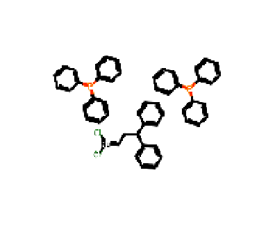 [Cl][Ru]([Cl])=[CH]CC(c1ccccc1)c1ccccc1.c1ccc(P(c2ccccc2)c2ccccc2)cc1.c1ccc(P(c2ccccc2)c2ccccc2)cc1